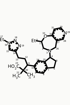 CCC1CN(C2CCc3ccc(C(CCc4cn(CC)nn4)C(C)(C)C(=O)O)cc32)Cc2cnccc2O1